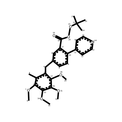 COc1c(C)c(Cc2ccc(-c3ccncc3)c(C(=O)OOC(C)(C)C)c2)c(OC)c(OC)c1OC